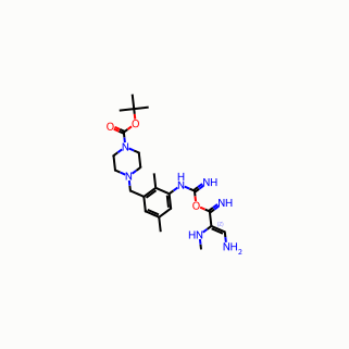 CN/C(=C\N)C(=N)OC(=N)Nc1cc(C)cc(CN2CCN(C(=O)OC(C)(C)C)CC2)c1C